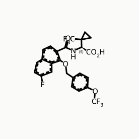 O=C(N[C@H](C(=O)O)C1(C(F)(F)F)CC1)c1ccc2ccc(F)cc2c1OCc1ccc(OC(F)(F)F)cc1